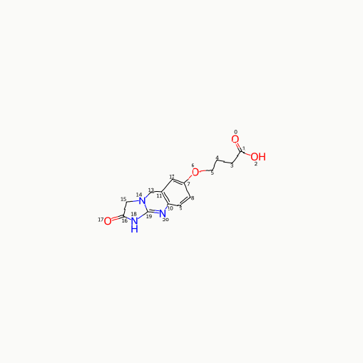 O=C(O)CCCOc1ccc2c(c1)CN1CC(=O)NC1=N2